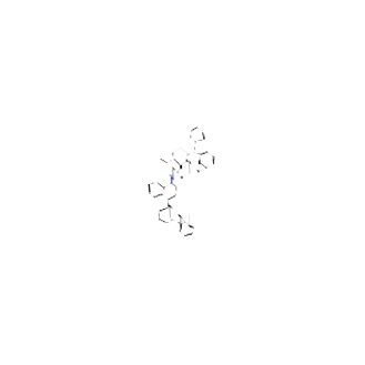 C=CC1=C(/N=C(\C)c2ccc(-c3cccc(-c4ccccn4)n3)c3ccccc23)C2=Nc3ccccc3C(C3C=CC=CC3)C2CC1